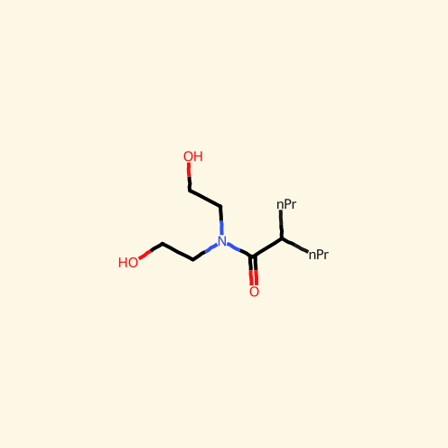 CCCC(CCC)C(=O)N(CCO)CCO